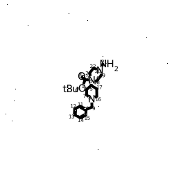 CC(C)(C)OC(=O)[N+]1(C2CCN(Cc3ccccc3)CC2)CCN(N)CC1